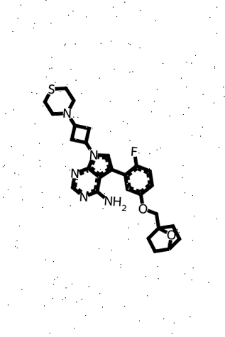 Nc1ncnc2c1c(-c1cc(OCC34CCC(CC3)O4)ccc1F)cn2C1CC(N2CCSCC2)C1